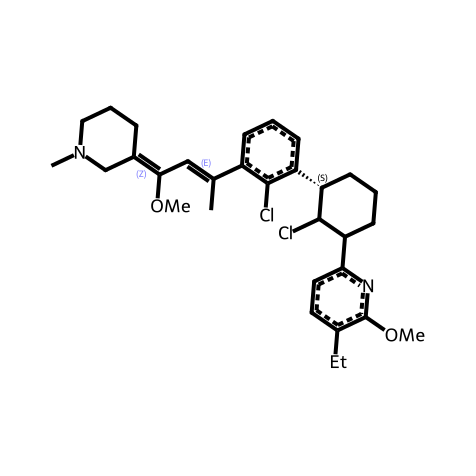 CCc1ccc(C2CCC[C@@H](c3cccc(/C(C)=C/C(OC)=C4\CCCN(C)C4)c3Cl)C2Cl)nc1OC